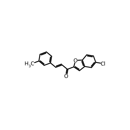 Cc1cccc(C=CC(=O)c2cc3cc(Cl)ccc3o2)c1